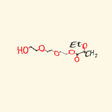 C=C(OCC)C(=O)OCCOCCOCCO